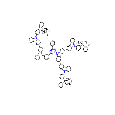 CC1(C)c2ccccc2-c2ccc(-n3c4ccccc4c4cc(-c5ccc6c(c5)c5ccccc5n6-c5cccc(-c6cc(-n7c8ccc(-c9ccc%10c(c9)c9ccccc9n%10-c9ccc%10c(c9)C(C)(C)c9ccccc9-%10)cc8c8cc(-c9ccc%10c(c9)c9ccccc9n%10-c9ccc%10c(c9)C(C)(C)c9ccccc9-%10)ccc87)nc(-c7ccccc7)n6)c5)ccc43)cc21